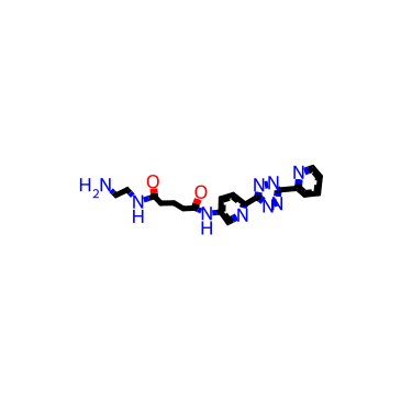 NCCNC(=O)CCCC(=O)Nc1ccc(-c2nnc(-c3ccccn3)nn2)nc1